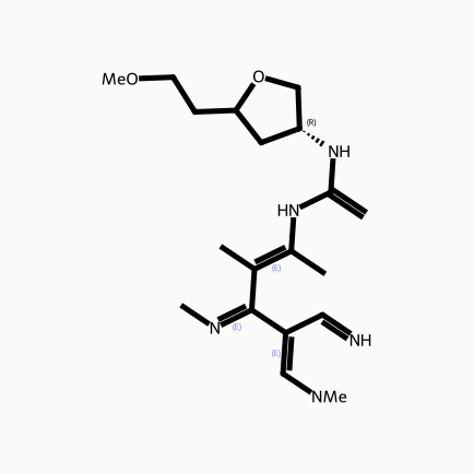 C=C(N/C(C)=C(C)/C(=N\C)C(/C=N)=C/NC)N[C@H]1COC(CCOC)C1